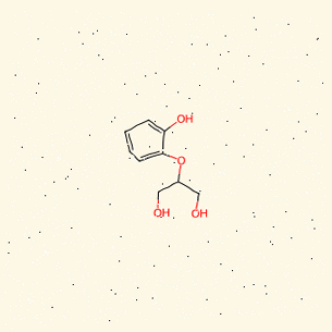 OCC(CO)Oc1ccccc1O